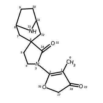 CC1=C(N2CCC3(CC4CCC(C3)N4)C2=O)OCC1=O